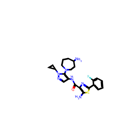 Nc1sc(-c2ccccc2F)nc1C(=O)Nc1cnn(C2CC2)c1N1CCCC(N)CC1